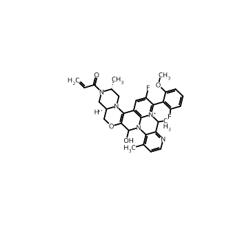 C=CC(=O)N1C[C@@H]2COC3=C(c4cc(F)c(-c5c(F)cccc5OC)[n+]5c4N(c4c(C)ccnc4C5C)C3O)N2C[C@H]1C